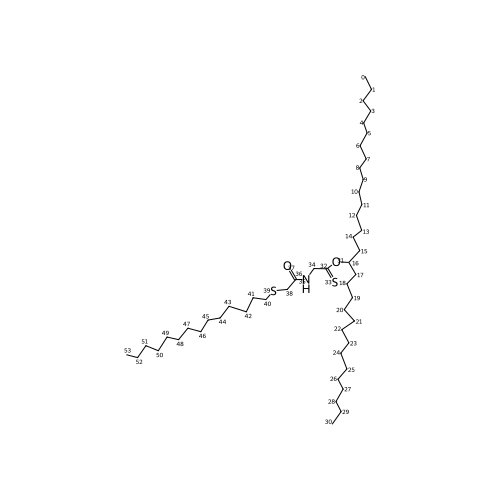 CCCCCCCCCCCCCCCCC(CCCCCCCCCCCCCC)OC(=S)CNC(=O)CSCCCCCCCCCCCCCC